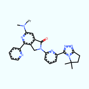 CC(C)N(C)c1cc2c(c(-c3ccccn3)n1)CN(c1cccc(-c3nnc4n3C(C)(C)CC4)n1)C2=O